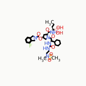 CCC[C@H](NC(=O)[C@@H]1C[C@@H](OC(=O)N2Cc3cccc(F)c3C2)CN1C(=O)[C@@H](NC(=O)NCCN(C)S(C)(=O)=O)C1CCCCC1)B(O)O